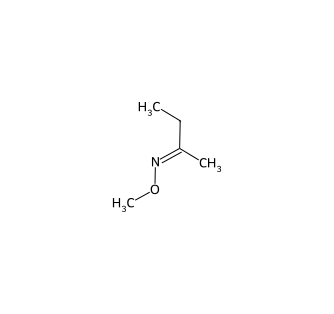 CCC(C)=NOC